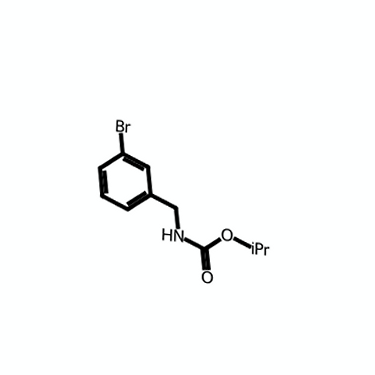 CC(C)OC(=O)NCc1cccc(Br)c1